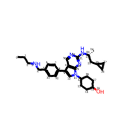 CCCNCc1ccc(-c2cn(C3CCC(O)CC3)c3nc(N[C@H](C)CC4CC4)ncc23)cc1